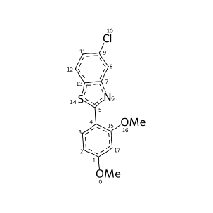 COc1ccc(-c2nc3cc(Cl)ccc3s2)c(OC)c1